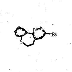 CC(C)(C)c1cc2c(nn1)-c1ccccc1SCC2